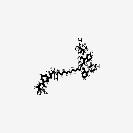 Cc1cc(-c2cc(C)c3oc(C(=O)NCCCCCCCCCCN(Cc4ccccc4N4CCNCC4)C(=O)c4sc5ccccc5c4C(=O)N4CC5(C4)C(=O)NCN5C)cc3c2)cn(C)c1=O